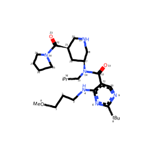 COCCCNc1nc(C(C)(C)C)ncc1C(=O)N(CC(C)C)[C@@H]1CNC[C@H](C(=O)N2CCCC2)C1